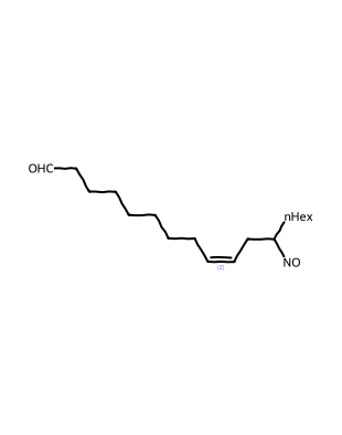 CCCCCCC(C/C=C\CCCCCCCC=O)N=O